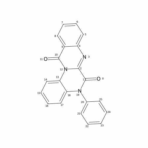 O=c1c2nc3ccccc3c(=O)n2c2ccccc2n1-c1ccccc1